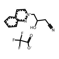 N#CCC(O)C[n+]1ccc2ccccc2n1.O=C([O-])C(F)(F)F